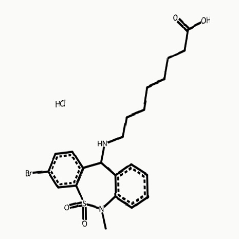 CN1c2ccccc2C(NCCCCCCCC(=O)O)c2ccc(Br)cc2S1(=O)=O.Cl